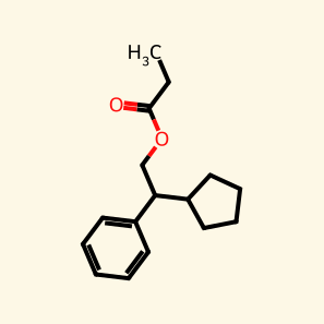 CCC(=O)OCC(c1ccccc1)C1CCCC1